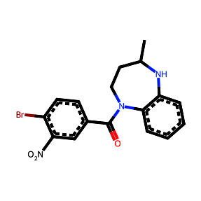 CC1CCN(C(=O)c2ccc(Br)c([N+](=O)[O-])c2)c2ccccc2N1